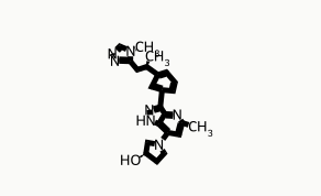 Cc1cc(N2CC[C@H](O)C2)c2[nH]nc(-c3cccc([C@H](C)Cc4nncn4C)c3)c2n1